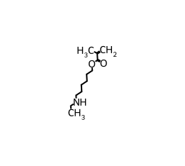 C=C(C)C(=O)OCCCCCCNCC